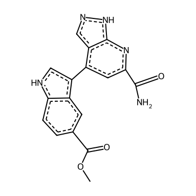 COC(=O)c1ccc2[nH]cc(-c3cc(C(N)=O)nc4[nH]ncc34)c2c1